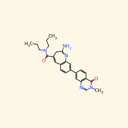 CCCN(CCC)C(=O)C1=Cc2ccc(-c3ccc4c(=O)n(C)cnc4c3)cc2N=C(N)C1